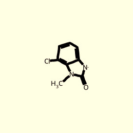 CN1C(=O)[N]c2cccc(Cl)c21